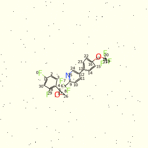 Fc1ccc([C@@]2(C(F)(F)c3ccc(-c4ccc(OC(F)(F)F)cc4)cn3)CO2)c(F)c1